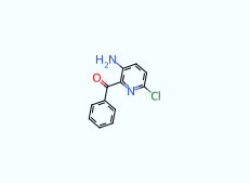 Nc1ccc(Cl)nc1C(=O)c1ccccc1